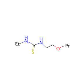 CCNC(=S)NCCOC(C)C